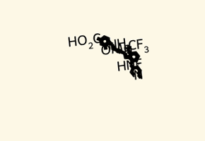 COc1cc(C(=O)O)ccc1NCC#Cc1cc2c(NC3CCN(C)C[C@H]3F)cccc2n1CC(F)(F)F